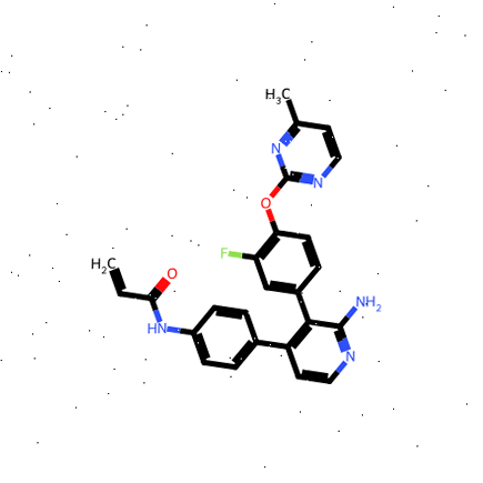 C=CC(=O)Nc1ccc(-c2ccnc(N)c2-c2ccc(Oc3nccc(C)n3)c(F)c2)cc1